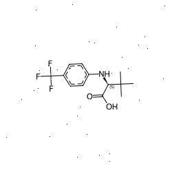 CC(C)(C)[C@H](Nc1ccc(C(F)(F)F)cc1)C(=O)O